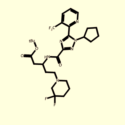 CC(C)(C)OC(=O)CC(CCN1CCCC(F)(F)C1)NC(=O)c1nc(-c2ncccc2C(F)(F)F)n(C2CCCC2)n1